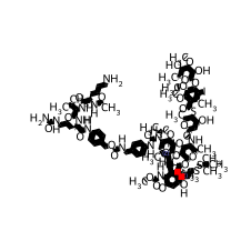 C/C=C\C#CC12C(NC(=O)OC)C(=O)C[C@](O)(/C(=C/CSSC(C)(C)C)C1[C@H](C)O[C@@H]1O[C@H](C)[C@@H](NO[C@H]3C[C@H](O)[C@H](SC(=O)c4c(C)c(I)c(O[C@@H]5O[C@@H](C)[C@H](O)[C@@H](OC)[C@H]5O)c(OC)c4OC)[C@@H](C)O3)[C@H](O)[C@H]1O[C@H]1C[C@H](OC)[C@@H](N(CC)C(=O)Nc3ccc(CNC(=O)OCc4ccc(NC(=O)[C@@H](CCCNC(N)=O)NC(=O)C(NC(=O)[C@@H](CCCCN)NC(C)=O)C(C)C)cc4)cc3)CO1)C2(C)C